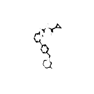 O=C(Nc1nc2cccc(-c3ccc(CN4CCCC(F)C4)cc3)n2n1)C1CC1